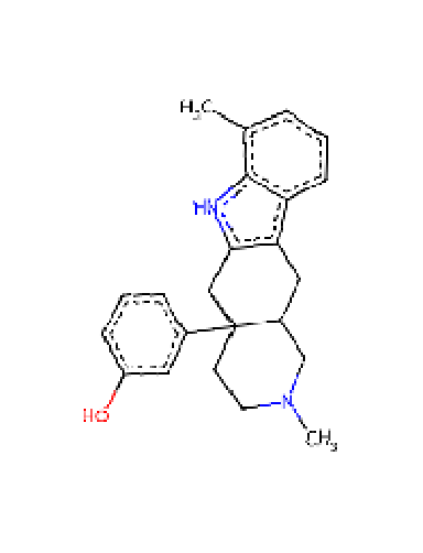 Cc1cccc2c3c([nH]c12)CC1(c2cccc(O)c2)CCN(C)CC1C3